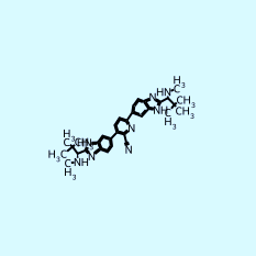 CN[C@H](c1nc2ccc(-c3ccc(-c4ccc5nc([C@@H](NC)C(C)(C)C)[nH]c5c4)c(C#N)n3)cc2[nH]1)C(C)(C)C